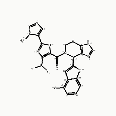 Cn1cncc1-c1nc(C(F)F)c(C(=O)N2CCc3[nH]cnc3[C@H]2c2cc3c(F)cccc3o2)o1